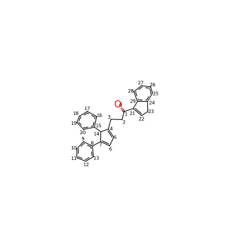 O=C(CCC1=CC=C(c2ccccc2)C1c1ccccc1)C1=CCc2ccccc21